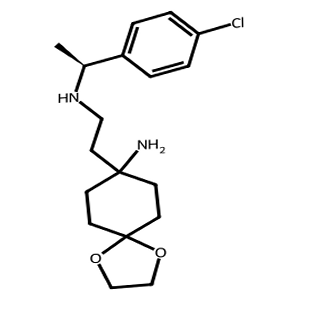 C[C@H](NCCC1(N)CCC2(CC1)OCCO2)c1ccc(Cl)cc1